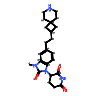 Cn1c(=O)n(C2CCC(=O)NC2=O)c2ccc(CCC3CC4(CCNCC4)C3)cc21